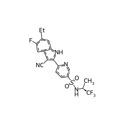 CCc1cc2[nH]c(-c3ccc(S(=O)(=O)N[C@@H](C)C(F)(F)F)cn3)c(C#N)c2cc1F